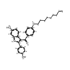 CCCCCCCCCOc1ccc(C(=O)c2c(-c3ccc(O)cc3)sc3cc(O)ccc23)cc1